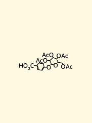 CC(=O)OCC1OC(Oc2ccc(C(=O)O)cc2)C(OC(C)=O)C(OC(C)=O)C1OC(C)=O